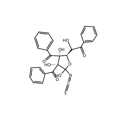 O=C(c1ccccc1)C(O)[C@H]1OC(O)(N=C=S)[C@@](O)(C(=O)c2ccccc2)[C@@]1(O)C(=O)c1ccccc1